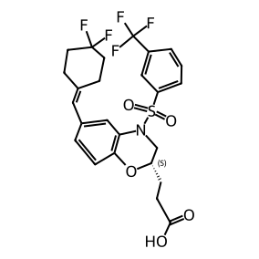 O=C(O)CC[C@H]1CN(S(=O)(=O)c2cccc(C(F)(F)F)c2)c2cc(C=C3CCC(F)(F)CC3)ccc2O1